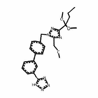 CCCc1nc(C(CCC)(OC)OC)nn1Cc1ccc(-c2cccc(-c3nnn[nH]3)c2)cc1